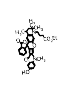 CCOC(=O)CCCN1c2cc3c(cc2C(C)CC1(C)C)C1(OC(=O)c2ccccc21)c1cc(Cl)c(N(C)c2ccc(O)cc2)cc1O3